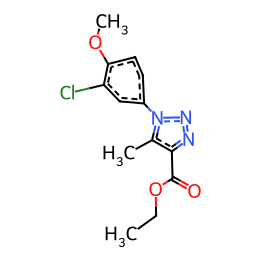 CCOC(=O)c1nnn(-c2ccc(OC)c(Cl)c2)c1C